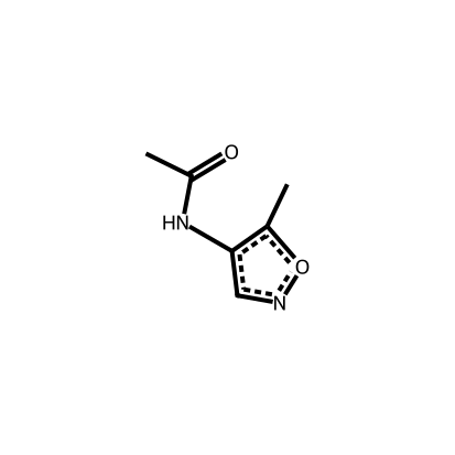 CC(=O)Nc1cnoc1C